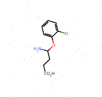 NC(CCC(=O)O)Oc1ccccc1Cl